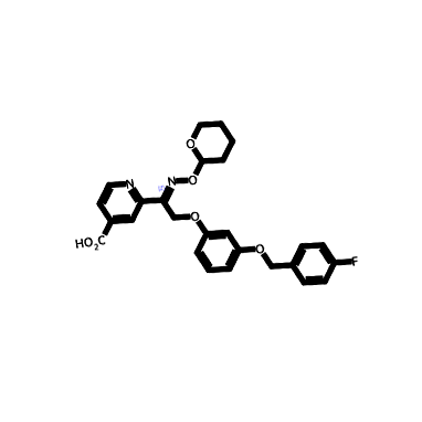 O=C(O)c1ccnc(/C(COc2cccc(OCc3ccc(F)cc3)c2)=N/OC2CCCCO2)c1